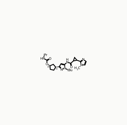 CC(C)NC(=O)O[C@@H]1CC[C@H](c2cc(NC(=O)C3CC3c3nccn3C)n(C(C)(C)C)n2)C1